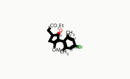 CCOC(=O)CC1CC(OC)=C(c2c(C)cc(Br)cc2C)C1=O